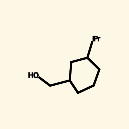 CC(C)C1CCCC(CO)C1